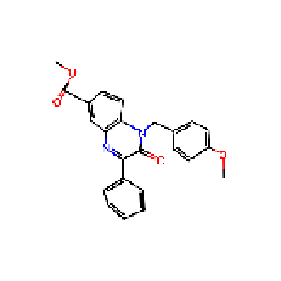 COC(=O)c1ccc2c(c1)nc(-c1ccccc1)c(=O)n2Cc1ccc(OC)cc1